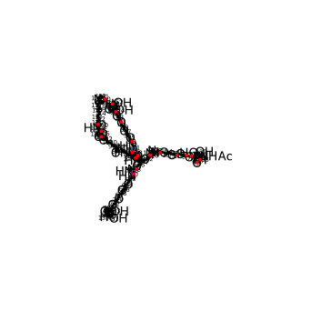 CC(=O)N[C@H]1[C@H]2OC[C@](COCCOCCOCCOCCn3cc(COCC(COC/C(N)=C/NCCOCCOCCOCCOC[C@]45CO[C@@H](C[C@@H](O)[C@H]4O)O5)(COC/C(=C/NCCOCCOCCOCCOC[C@]45CO[C@@H](C[C@@H](O)[C@H]4O)O5)N=N)NC(=O)CCCCCNC(=O)CCCCCOC4OCC(NC(=O)CCCCCSSc5ccccn5)CO4)nn3)(O2)[C@H](O)[C@@H]1O